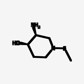 CSN1CC[C@@H](O)[C@@H](N)C1